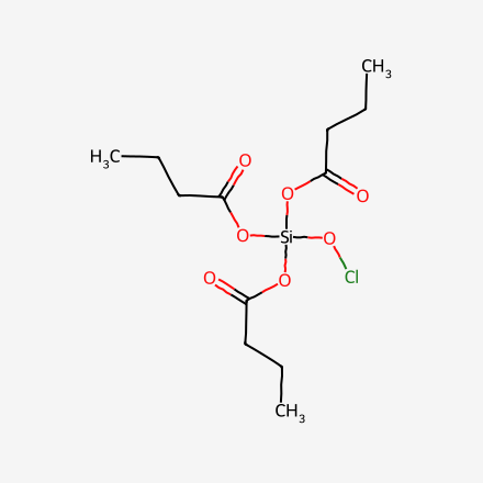 CCCC(=O)O[Si](OCl)(OC(=O)CCC)OC(=O)CCC